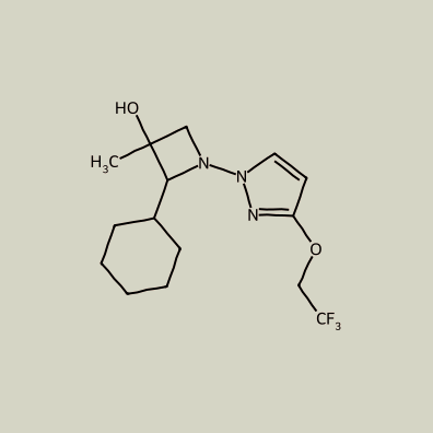 CC1(O)CN(n2ccc(OCC(F)(F)F)n2)C1C1CCCCC1